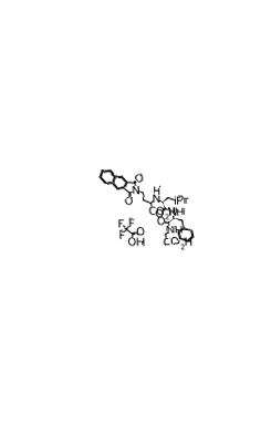 CC(C)C[C@H](NC(CCN1C(=O)c2cc3ccccc3cc2C1=O)C(=O)O)C(=O)N[C@@H](Cc1ccccc1)C(=O)NCC(=O)O.O=C(O)C(F)(F)F